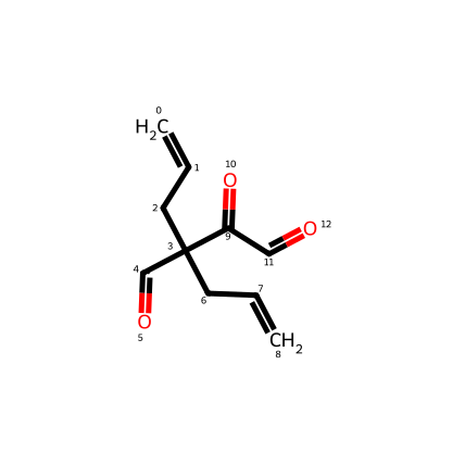 C=CCC([C]=O)(CC=C)C(=O)C=O